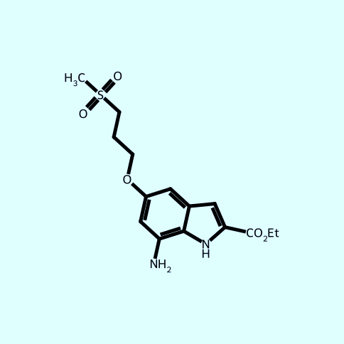 CCOC(=O)c1cc2cc(OCCCS(C)(=O)=O)cc(N)c2[nH]1